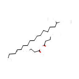 CC(C)CCCCCCCCCCCCCCC(C)C(=O)O.O=C(O)CCC(=O)OC(=O)CCC(=O)O